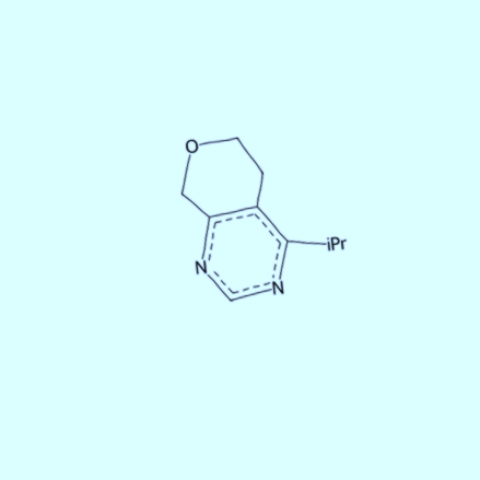 CC(C)c1ncnc2c1CCOC2